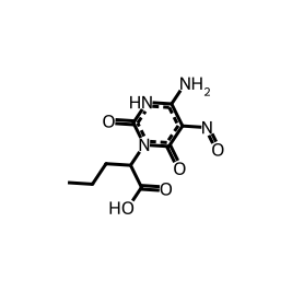 CCCC(C(=O)O)n1c(=O)[nH]c(N)c(N=O)c1=O